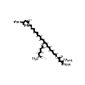 CCCCCC(CCCCC)CC(=O)OCCCCCCCCCC(CCCCCCCOC(=O)CC(CCCCC)CCCCC)OCCCCN(C)C